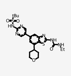 CCNC(=O)Nc1nc2cc(-c3cnc(NS(=O)(=O)C(C)(C)C)nc3)cc(C3CCOCC3)c2s1